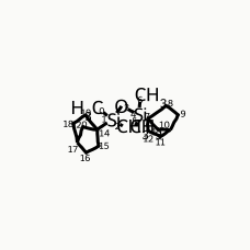 C[Si](C)(O[Si](C)(C)C12CCC(CC1)C2)C12CCC(CC1)C2